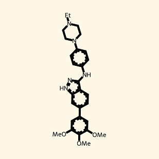 CCN1CCN(c2ccc(Nc3n[nH]c4cc(-c5cc(OC)c(OC)c(OC)c5)ccc34)cc2)CC1